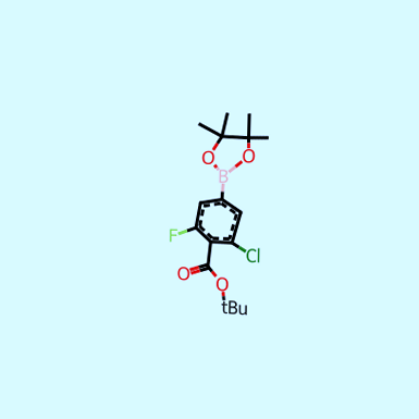 CC(C)(C)OC(=O)c1c(F)cc(B2OC(C)(C)C(C)(C)O2)cc1Cl